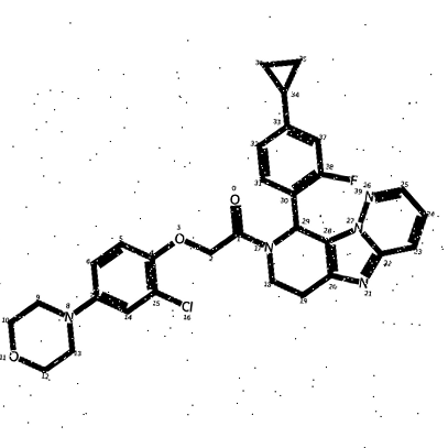 O=C(COc1ccc(N2CCOCC2)cc1Cl)N1CCc2nc3cccnn3c2C1c1ccc(C2CC2)cc1F